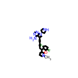 Cn1cccc(C(CC#CC#Cc2cn(C3CCNCC3)c3ncnc(N)c23)c2cc(F)ccc2F)c1=O